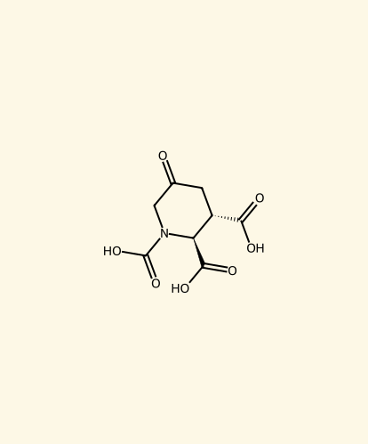 O=C1C[C@H](C(=O)O)[C@@H](C(=O)O)N(C(=O)O)C1